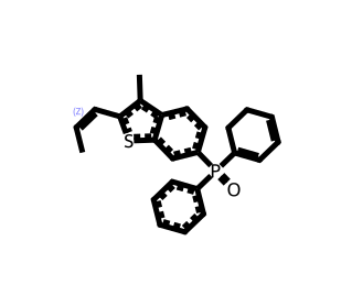 C/C=C\c1sc2cc(P(=O)(C3=CC=CCC3)c3ccccc3)ccc2c1C